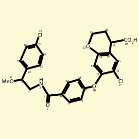 COC(CNC(=O)c1ccc(Oc2cc3c(cc2Cl)C(C(=O)O)CCO3)cc1)c1ccc(Cl)cc1